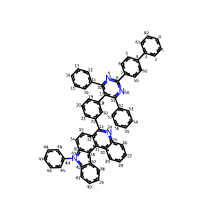 c1ccc(-c2ccc(-c3nc(-c4ccccc4)c(-c4cccc(-c5nc6ccccc6c6c5ccc5c6c6ccccc6n5-c5ccccc5)c4)c(-c4ccccc4)n3)cc2)cc1